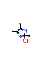 CC1=NC(C)(O)N=C1C